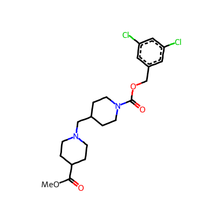 COC(=O)C1CCN(CC2CCN(C(=O)OCc3cc(Cl)cc(Cl)c3)CC2)CC1